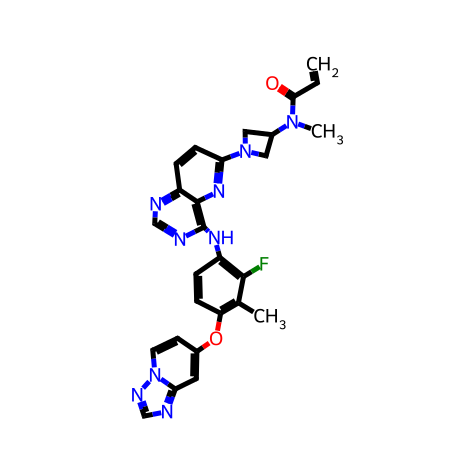 C=CC(=O)N(C)C1CN(c2ccc3ncnc(Nc4ccc(Oc5ccn6ncnc6c5)c(C)c4F)c3n2)C1